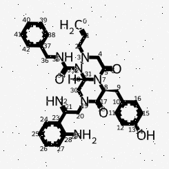 C=CCN1CC(=O)N2[C@@H](Cc3ccc(O)cc3)C(=O)N(CC(=N)c3ccccc3N)C[C@@H]2N1C(=O)NCc1ccccc1